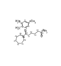 Cc1ccc(C)c(N)c1.NC(=O)CCCCC(=O)N1CCCCCC1